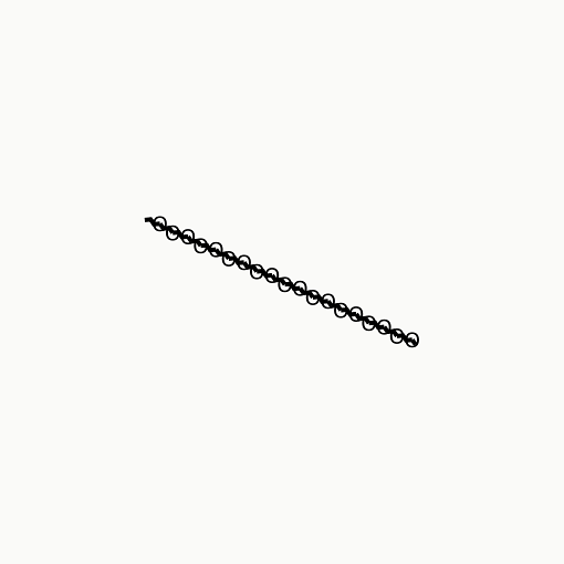 CCCOCCOCCOCCOCCOCCOCCOCCOCCOCCOCCOCCOCCOCCOCCOCCOCCOCCOCCOC